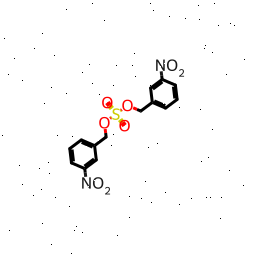 O=[N+]([O-])c1cccc(COS(=O)(=O)OCc2cccc([N+](=O)[O-])c2)c1